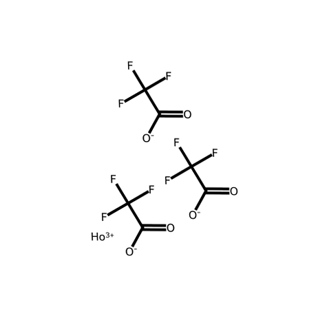 O=C([O-])C(F)(F)F.O=C([O-])C(F)(F)F.O=C([O-])C(F)(F)F.[Ho+3]